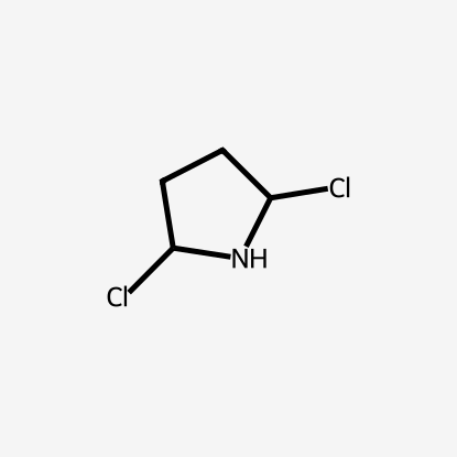 ClC1CCC(Cl)N1